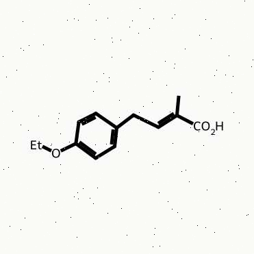 CCOc1ccc(CC=C(C)C(=O)O)cc1